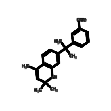 COc1cccc(C(C)(C)c2ccc3c(c2)NC(C)(C)C=C3C)c1